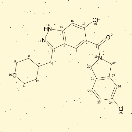 O=C(c1cc2c(CC3CCOCC3)n[nH]c2cc1O)N1Cc2ccc(Cl)cc2C1